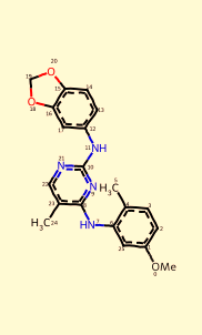 COc1ccc(C)c(Nc2nc(Nc3ccc4c(c3)OCO4)ncc2C)c1